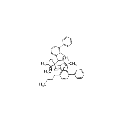 CCCCc1ccc(-c2ccccc2)c2c1[CH]([Zr]([Cl])([Cl])([CH]1C(C(C)C)=Cc3c(-c4ccccc4)cccc31)[SiH](C)C)C(C)=C2